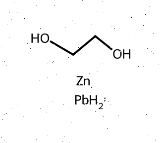 OCCO.[PbH2].[Zn]